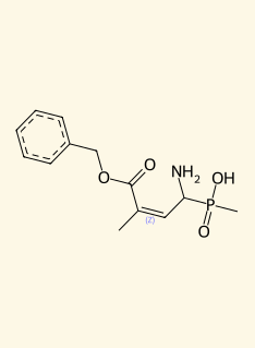 C/C(=C/C(N)P(C)(=O)O)C(=O)OCc1ccccc1